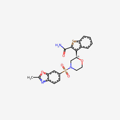 Cc1nc2ccc(S(=O)(=O)N3CCO[C@H](c4c(C(N)=O)sc5ccccc45)C3)cc2o1